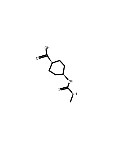 CNC(=O)N[C@H]1CC[C@@H](C(=O)O)CC1